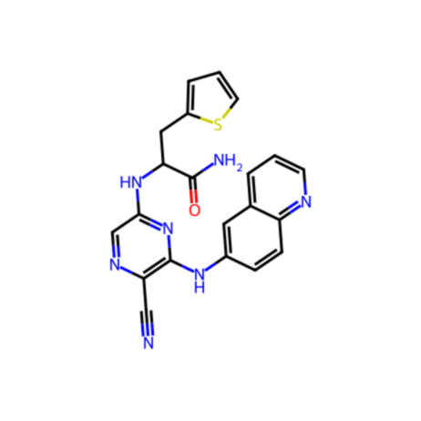 N#Cc1ncc(NC(Cc2cccs2)C(N)=O)nc1Nc1ccc2ncccc2c1